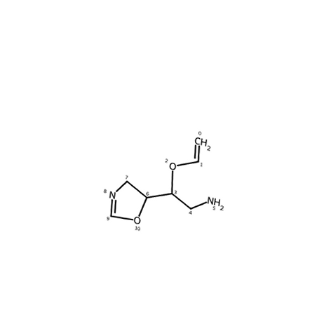 C=COC(CN)C1CN=CO1